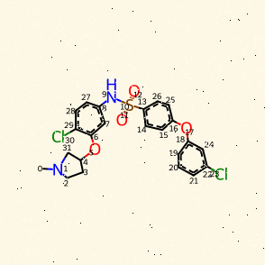 CN1CCC(Oc2cc(NS(=O)(=O)c3ccc(Oc4cccc(Cl)c4)cc3)ccc2Cl)C1